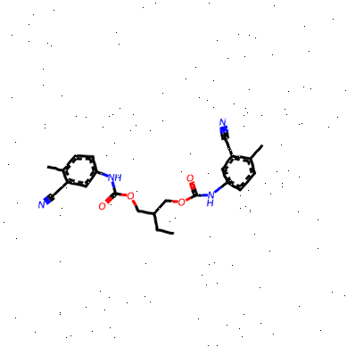 CCC(COC(=O)Nc1ccc(C)c(C#N)c1)COC(=O)Nc1ccc(C)c(C#N)c1